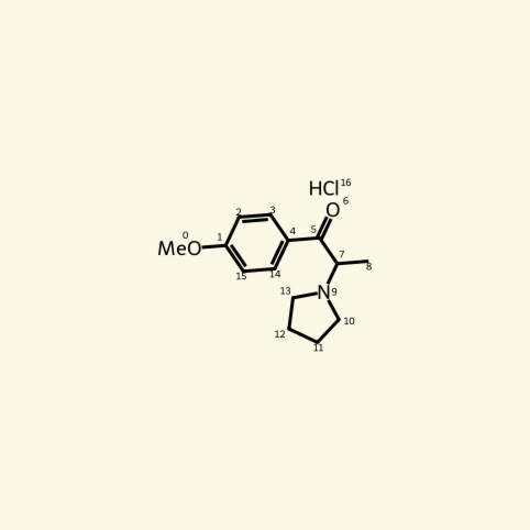 COc1ccc(C(=O)C(C)N2CCCC2)cc1.Cl